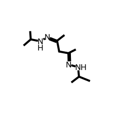 C/C(C/C(C)=N/NC(C)C)=N/NC(C)C